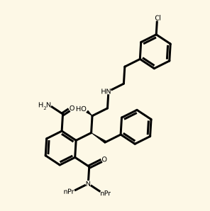 CCCN(CCC)C(=O)c1cccc(C(N)=O)c1[C@H](Cc1ccccc1)[C@@H](O)CNCCc1cccc(Cl)c1